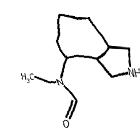 CN(C=O)C1CCCC2CNCC21